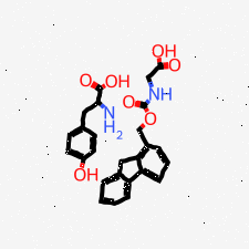 NC(Cc1ccc(O)cc1)C(=O)O.O=C(O)CNC(=O)OCc1cccc2c1Cc1ccccc1-2